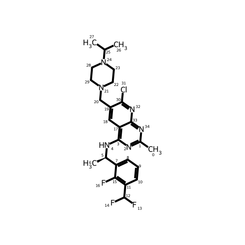 Cc1nc(N[C@H](C)c2cccc(C(F)F)c2F)c2cc(CN3CCN(C(C)C)CC3)c(Cl)nc2n1